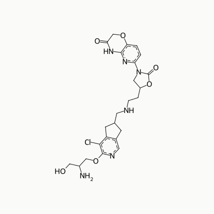 NC(CO)COc1ncc2c(c1Cl)CC(CNCCC1CN(c3ccc4c(n3)NC(=O)CO4)C(=O)O1)C2